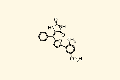 Cc1ccc(C(=O)O)cc1-c1ccc(C(=C2NC(=O)NC2=O)c2ccccc2)o1